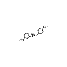 Oc1ccc(CNCc2cccc(O)c2)cc1